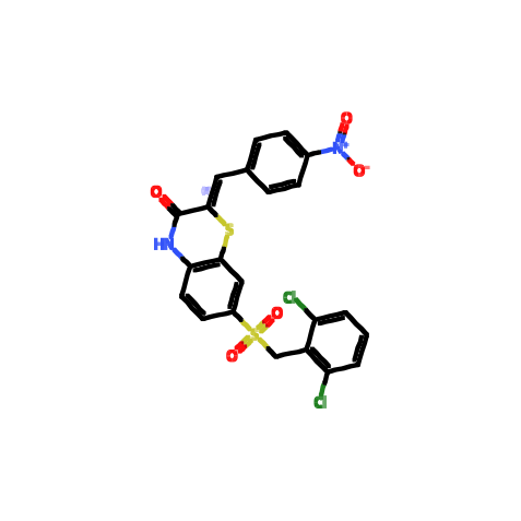 O=C1Nc2ccc(S(=O)(=O)Cc3c(Cl)cccc3Cl)cc2S/C1=C\c1ccc([N+](=O)[O-])cc1